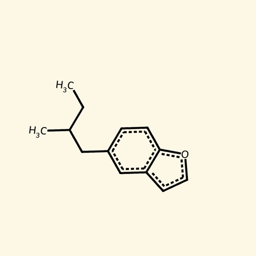 CCC(C)Cc1ccc2occc2c1